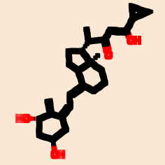 C=C1/C(=C\C=C2/CCC[C@@]3(C)C2CC[C@@H]3C(C)C(=O)/C=C(\O)C2CC2)C[C@@H](O)C[C@@H]1O